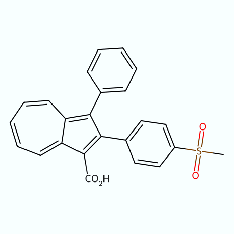 CS(=O)(=O)c1ccc(-c2c(C(=O)O)c3cccccc-3c2-c2ccccc2)cc1